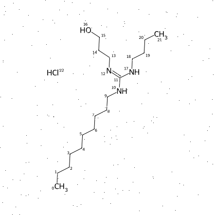 CCCCCCCCCCNC(=NCCCO)NCCCC.Cl